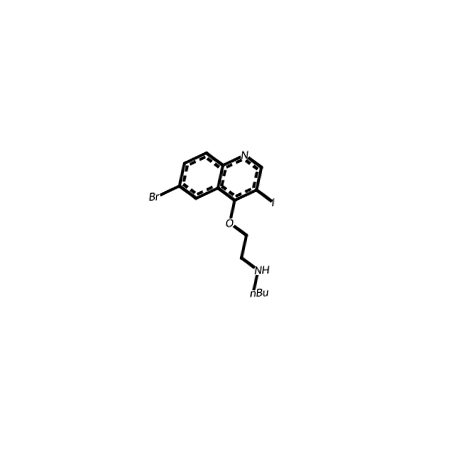 CCCCNCCOc1c(I)cnc2ccc(Br)cc12